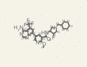 COc1ncc(-c2cc(C(F)(F)F)c3c(N)ncnn23)cc1C(=O)NC1CN(CC2CCCCC2)CC1F